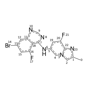 Cc1cn2cc(Nc3ncnc4cc(Br)cc(F)c34)cc(F)c2n1